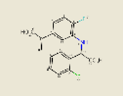 CC(C(=O)O)c1ccc(F)c(NC(C(=O)O)c2ccccc2Cl)c1